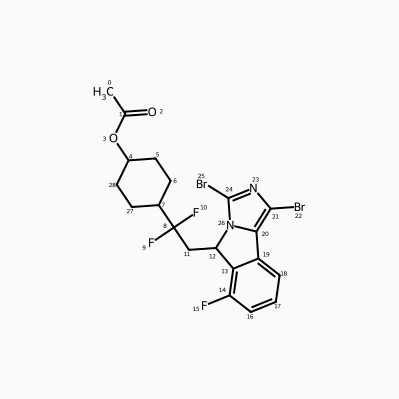 CC(=O)OC1CCC(C(F)(F)CC2c3c(F)cccc3-c3c(Br)nc(Br)n32)CC1